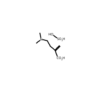 C=C(CCN(C)C)C(=O)O.O=S(=O)(O)O